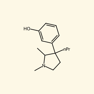 CCCC1(c2cccc(O)c2)CCN(C)C1C